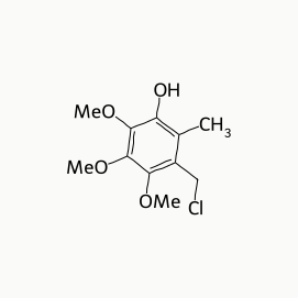 COc1c(O)c(C)c(CCl)c(OC)c1OC